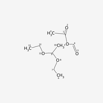 CC(=O)OC=O.CCOC(C)OCC